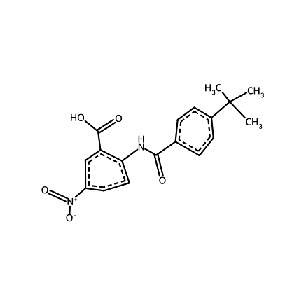 CC(C)(C)c1ccc(C(=O)Nc2ccc([N+](=O)[O-])cc2C(=O)O)cc1